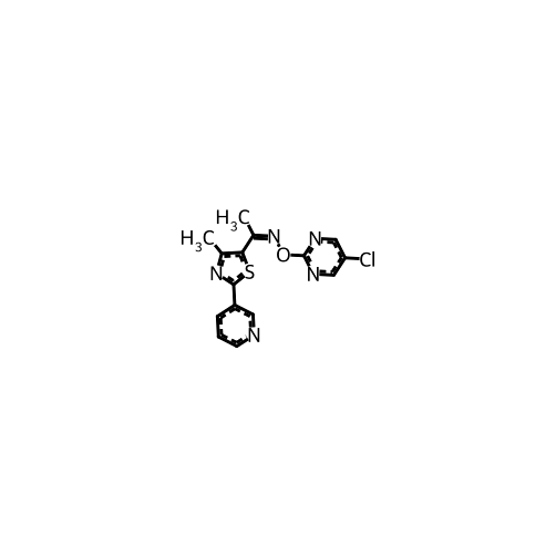 CC(=NOc1ncc(Cl)cn1)c1sc(-c2cccnc2)nc1C